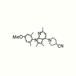 COc1cc(C)c(-n2c(C)c(C)c3c(N4CCC(C#N)CC4)cc(C)nc32)c(C)c1